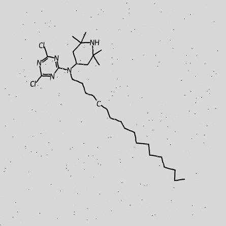 CCCCCCCCCCCCCCCCCCN(c1nc(Cl)nc(Cl)n1)C1CC(C)(C)NC(C)(C)C1